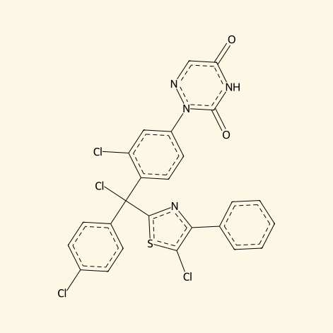 O=c1cnn(-c2ccc(C(Cl)(c3ccc(Cl)cc3)c3nc(-c4ccccc4)c(Cl)s3)c(Cl)c2)c(=O)[nH]1